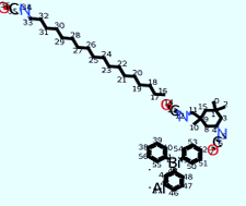 CC1(C)CC(N=C=O)CC(C)(CN=C=O)C1.CCCCCCCCCCCCCCCCCCN=C=O.[Al].c1cc[c]([Bi]([c]2ccccc2)[c]2ccccc2)cc1